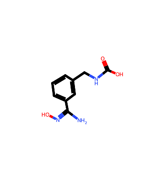 N/C(=N/O)c1cccc(CNC(=O)O)c1